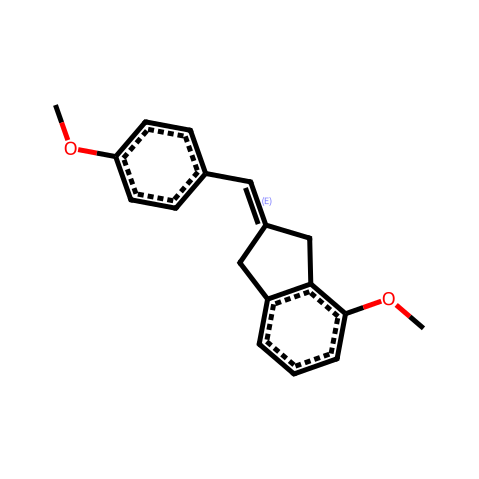 COc1ccc(/C=C2\Cc3cccc(OC)c3C2)cc1